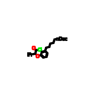 CCCCCCCCCCCCCCCc1cccc(OC(C(=O)Cl)C(C)C)c1